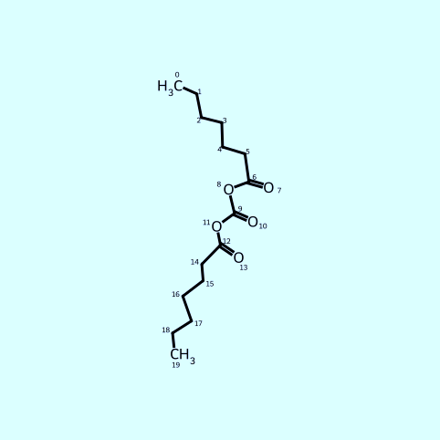 CCCCCCC(=O)OC(=O)OC(=O)CCCCCC